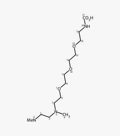 CNCCN(C)CCOCCOCCOCCNC(=O)O